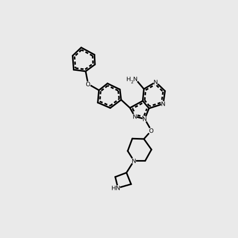 Nc1ncnc2c1c(-c1ccc(Oc3ccccc3)cc1)nn2OC1CCN(C2CNC2)CC1